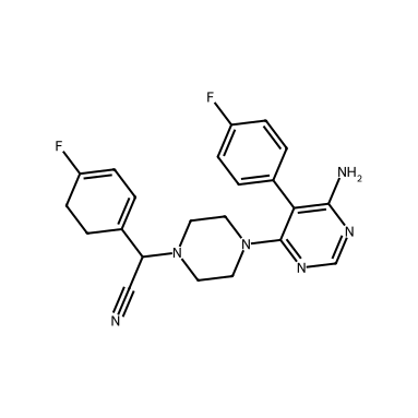 N#CC(C1=CC=C(F)CC1)N1CCN(c2ncnc(N)c2-c2ccc(F)cc2)CC1